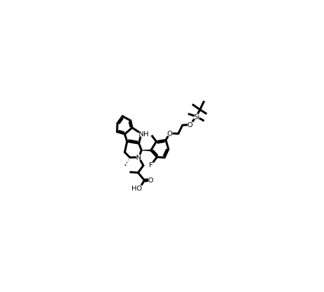 Cc1c(OCCO[Si](C)(C)C(C)(C)C)ccc(F)c1[C@@H]1c2[nH]c3ccccc3c2C[C@@H](C)N1CC(C)C(=O)O